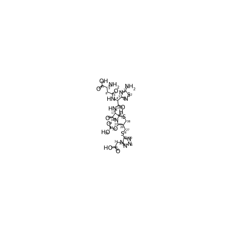 Nc1nc([C@H](NC(=O)C[C@@H](N)C(=O)O)C(=O)N[C@@H]2C(=O)N3C(OC(=O)O)=C(CSc4nnnn4CC(=O)O)CS[C@@H]23)ns1